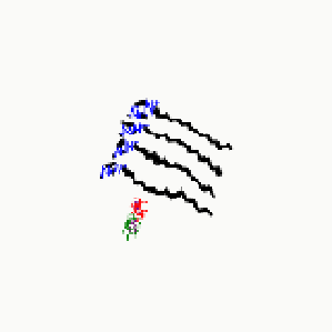 CCCCCCCCCCCCCCCC[n+]1ccn(C)c1.CCCCCCCCCCCCCCCC[n+]1ccn(C)c1.CCCCCCCCCCCCCCCC[n+]1ccn(C)c1.CCCCCCCCCCCCCCCC[n+]1ccn(C)c1.F[P-](F)(F)(F)(F)F.O=P([O-])([O-])[O-]